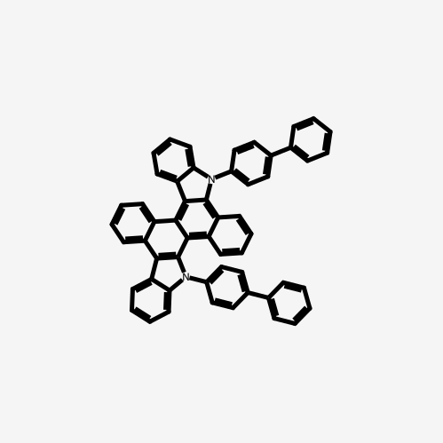 c1ccc(-c2ccc(-n3c4ccccc4c4c5c6ccccc6c6c7ccccc7n(-c7ccc(-c8ccccc8)cc7)c6c5c5ccccc5c43)cc2)cc1